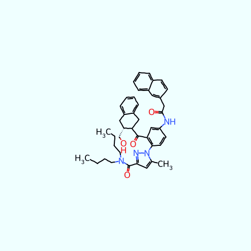 CCCCN(CCCC)C(=O)c1cc(C)n(-c2ccc(NC(=O)Cc3ccc4ccccc4c3)cc2C(=O)C2Cc3ccccc3C[C@H]2CO)n1